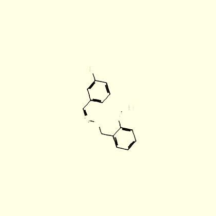 COc1ccccc1CO/N=[C]\c1cccc(F)c1